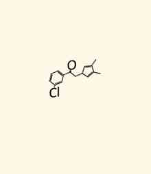 CC1=CC(CC(=O)c2cccc(Cl)c2)C=C1C